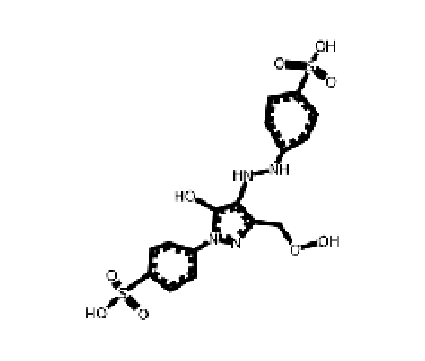 O=S(=O)(O)c1ccc(NNc2c(COO)nn(-c3ccc(S(=O)(=O)O)cc3)c2O)cc1